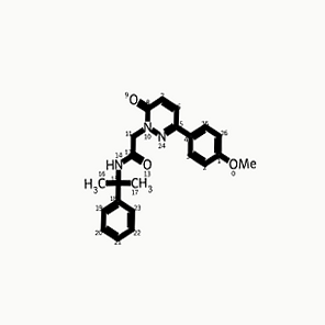 COc1ccc(-c2ccc(=O)n(CC(=O)NC(C)(C)c3ccccc3)n2)cc1